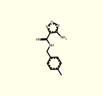 Cc1ccc(CNC(=N)c2nonc2N)cc1